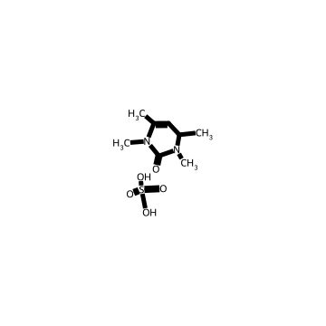 CC1=CC(C)N(C)C(=O)N1C.O=S(=O)(O)O